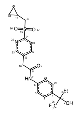 CCC(O)(c1ccc(NC(=O)Cc2ccc(S(=O)(=O)CC3CC3)nc2)cc1)C(F)(F)F